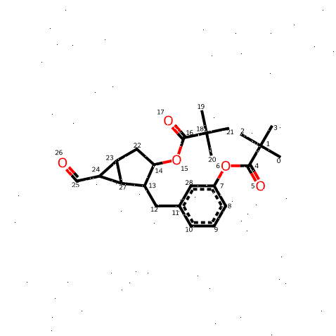 CC(C)(C)C(=O)Oc1cccc(CC2C(OC(=O)C(C)(C)C)CC3C(C=O)C23)c1